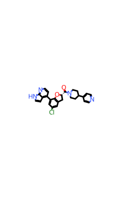 O=C([C@@H]1Cc2cc(Cl)cc(-c3ccnc4[nH]ccc34)c2O1)N1CCC(c2ccncc2)CC1